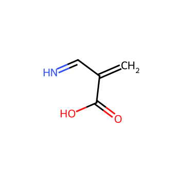 C=C(C=N)C(=O)O